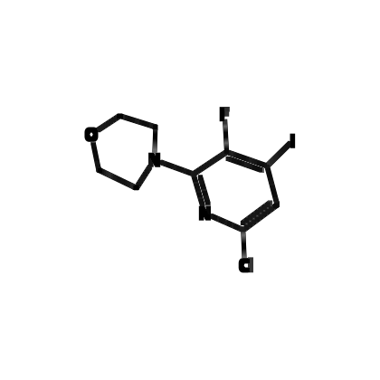 Fc1c(I)cc(Cl)nc1N1CCOCC1